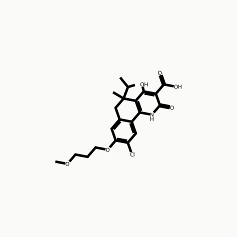 COCCCOc1cc2c(cc1Cl)-c1[nH]c(=O)c(C(=O)O)c(O)c1C(C)(C(C)C)C2